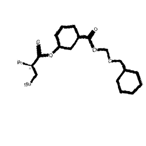 CC(C)[C@H](CC(C)(C)C)C(=O)OC1CCCC(C(=O)OCOCC2CCCCC2)C1